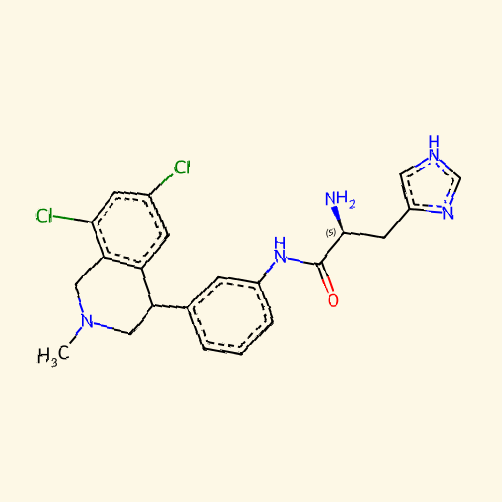 CN1Cc2c(Cl)cc(Cl)cc2C(c2cccc(NC(=O)[C@@H](N)Cc3c[nH]cn3)c2)C1